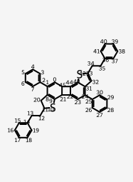 C1=C(c2ccccc2)C2=C(SC(CCc3ccccc3)C2)C2c3cc(-c4ccccc4)c4cc(CCc5ccccc5)sc4c3C12